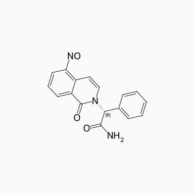 NC(=O)[C@@H](c1ccccc1)n1ccc2c(N=O)cccc2c1=O